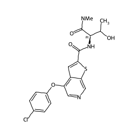 CNC(=O)[C@H](NC(=O)c1cc2c(Oc3ccc(Cl)cc3)cncc2s1)C(C)O